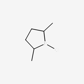 CC1CCC(C)P1Cl